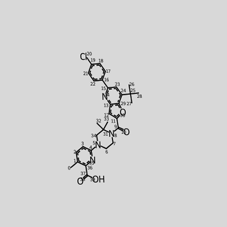 Cc1ccc(N2CCN(C(=O)c3cc4nc(-c5ccc(Cl)cc5)cc(C(C)(C)C)c4o3)C(C)(C)C2)nc1C(=O)O